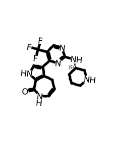 O=C1NC=CCc2c(-c3nc(N[C@H]4CCCNC4)ncc3C(F)(F)F)c[nH]c21